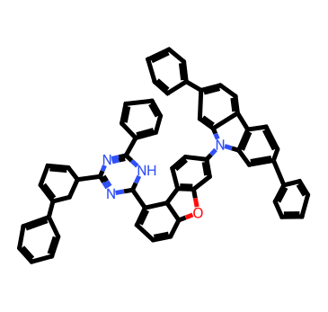 C1=CC(C2=NC(C3=CC=CC4Oc5cc(-n6c7cc(-c8ccccc8)ccc7c7ccc(-c8ccccc8)cc76)ccc5C34)NC(c3ccccc3)=N2)CC(c2ccccc2)=C1